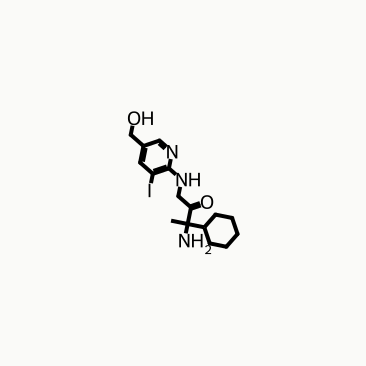 CC(N)(C(=O)CNc1ncc(CO)cc1I)C1CCCCC1